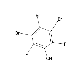 N#Cc1c(F)c(Br)c(Br)c(Br)c1F